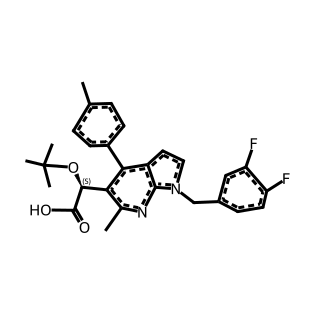 Cc1ccc(-c2c([C@H](OC(C)(C)C)C(=O)O)c(C)nc3c2ccn3Cc2ccc(F)c(F)c2)cc1